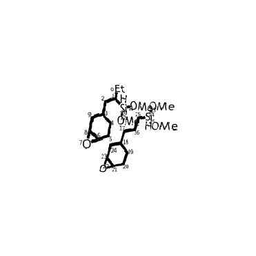 CCC(CC1CCC2OC2C1)[SiH](OC)OC.CO[SiH](CCCC1CCC2OC2C1)OC